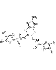 Nc1nc2c([nH]1)CC(CNC(=O)c1cc(Br)c(Br)[nH]1)C(CNC(=O)c1cc(Br)c(Br)[nH]1)C2